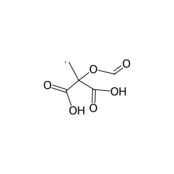 [CH2]C(OC=O)(C(=O)O)C(=O)O